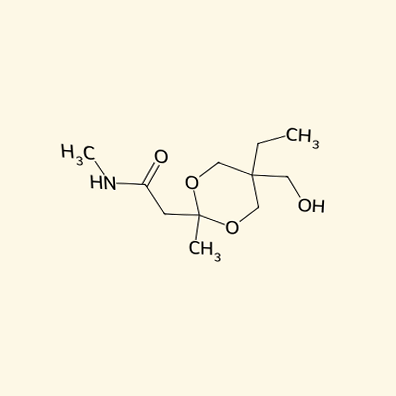 CCC1(CO)COC(C)(CC(=O)NC)OC1